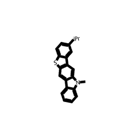 CC(C)c1ccc2sc3cc4c5ccccc5n(C)c4cc3c2c1